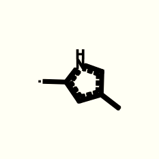 [CH2]c1cc(C)c[nH]1